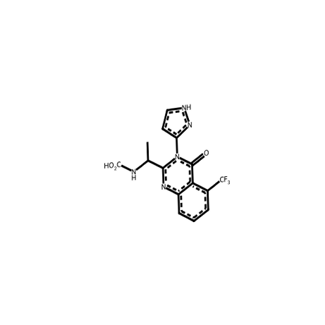 CC(NC(=O)O)c1nc2cccc(C(F)(F)F)c2c(=O)n1-c1cc[nH]n1